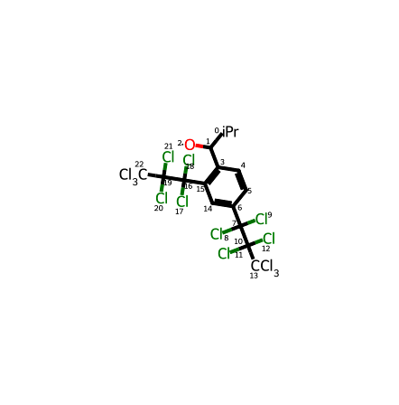 CC(C)C([O])c1ccc(C(Cl)(Cl)C(Cl)(Cl)C(Cl)(Cl)Cl)cc1C(Cl)(Cl)C(Cl)(Cl)C(Cl)(Cl)Cl